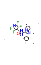 Cc1ccc(-c2nc3ccc(C)cn3c2CNC(=O)c2c(F)c(F)nc(F)c2F)cc1